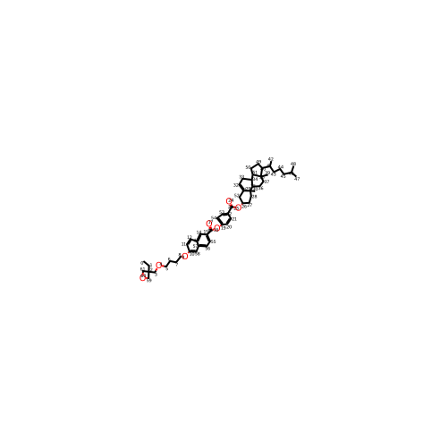 CCC1(COCCCCOc2ccc3cc(C(=O)Oc4ccc(C(=O)OC5CCC6(C)C(=CCC7C6CCC6(C)C(C(C)CCCC(C)C)CCC76)C5)cc4)ccc3c2)COC1